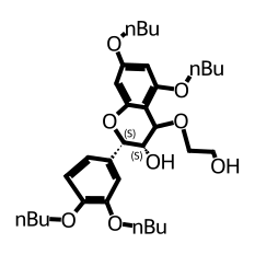 CCCCOc1cc(OCCCC)c2c(c1)O[C@@H](c1ccc(OCCCC)c(OCCCC)c1)[C@@H](O)C2OCCO